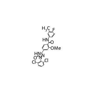 COc1cc(-c2nn(-c3c(Cl)cccc3Cl)c(=O)[nH]2)ccc1C(=O)Nc1ccc(F)c(C)c1